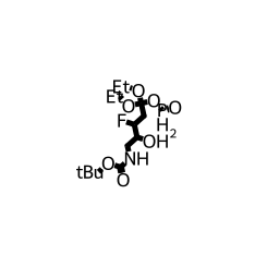 CCOC(CC(F)C(O)CNC(=O)OC(C)(C)C)(OCC)O[PH2]=O